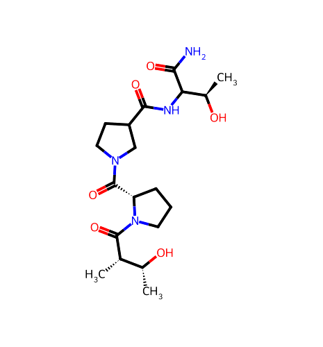 C[C@H](C(=O)N1CCC[C@H]1C(=O)N1CCC(C(=O)NC(C(N)=O)[C@@H](C)O)C1)[C@@H](C)O